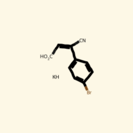 N#C/C(=C/C(=O)O)c1ccc(Br)cc1.[KH]